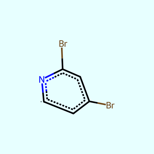 Brc1c[c]nc(Br)c1